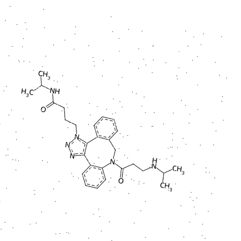 CC(C)NCCC(=O)N1Cc2ccccc2-c2c(nnn2CCCC(=O)NC(C)C)-c2ccccc21